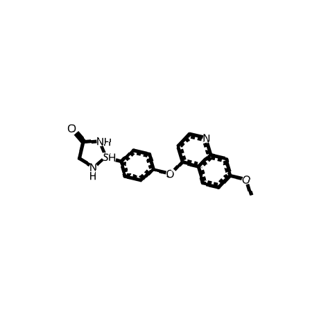 COc1ccc2c(Oc3ccc([SH]4NCC(=O)N4)cc3)ccnc2c1